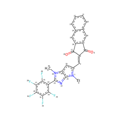 CCn1c(C=C2C(=O)c3cc4ccccc4cc3C2=O)cc2c1nc(-c1c(F)c(F)c(F)c(F)c1F)n2C